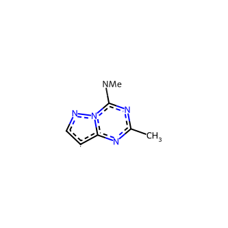 CNc1nc(C)nc2[c]cnn12